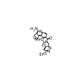 CCOc1ccc(CN(C(=O)c2ccc3nc(N)c4c(c3c2)COC4)C(CC)OC)nn1